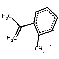 C=C(C)c1ccc[c]c1C